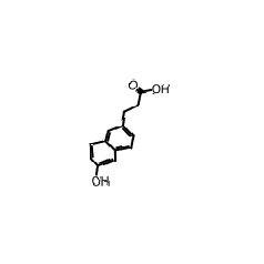 O=C(O)CCc1ccc2cc(O)ccc2c1